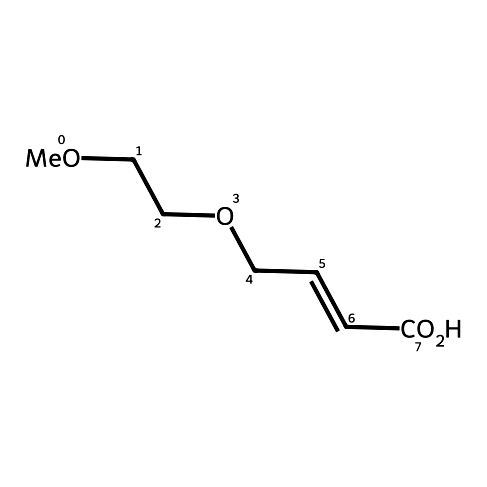 COCCOC/C=C/C(=O)O